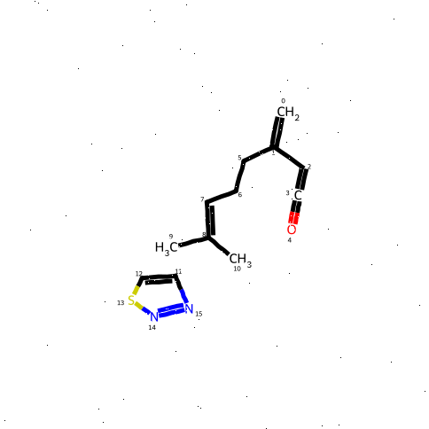 C=C(C=C=O)CCC=C(C)C.c1csnn1